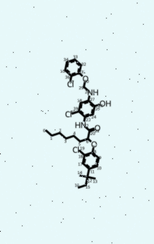 CCCCCCC(Oc1ccc(C(C)(C)CC)cc1Cl)C(=O)Nc1cc(O)c(NCOc2ccccc2Cl)cc1Cl